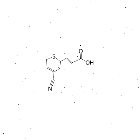 N#CC1=CCSC(C=CC(=O)O)=C1